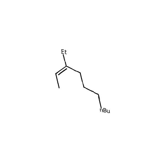 CC=C(CC)CCCCCCC